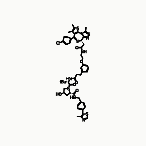 Cc1ncsc1-c1ccc(CNC(=O)[C@@H]2C[C@@H](O)CN2C(=O)[C@@H](NC(=O)CCc2cccc(OCCNC(=O)C[C@@H]3N=C(c4ccc(Cl)cc4)c4c(sc(C)c4C)-n4c(C)nnc43)c2)C(C)(C)C)cc1